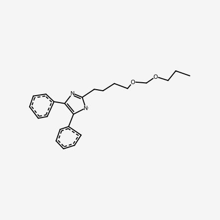 CCCOCOCCCCC1=NC(c2ccccc2)=C(c2ccccc2)[N]1